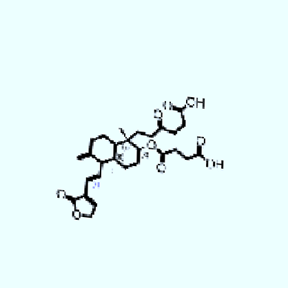 C=C1CCC2[C@@](C)(CC[C@@H](OC(=O)CCC(=O)O)[C@@]2(C)CCC(=O)CCC(=O)O)C1/C=C/C1=CCOC1=O